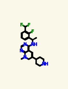 C[C@@H](Nc1ncnc2c1C=C(C1CCNCC1)CN2C)c1cccc(C(F)F)c1F